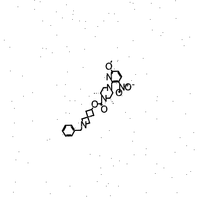 COc1ccc([N+](=O)[O-])c(N2C[C@@H](C)N(C(=O)OC3CC4(C3)CN(Cc3ccccc3)C4)[C@@H](C)C2)n1